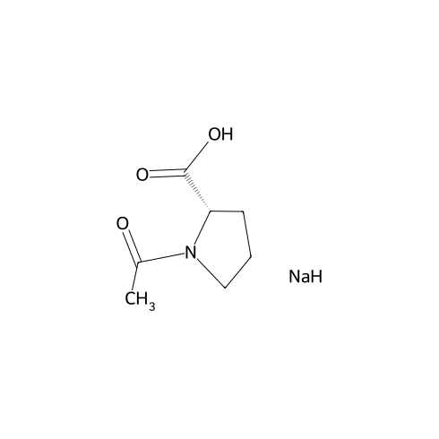 CC(=O)N1CCC[C@H]1C(=O)O.[NaH]